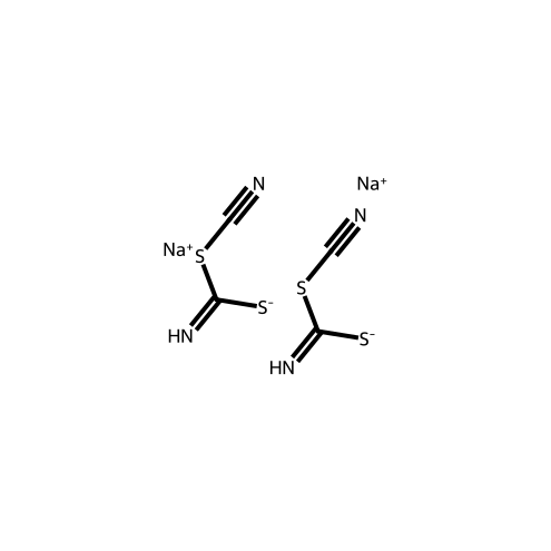 N#CSC(=N)[S-].N#CSC(=N)[S-].[Na+].[Na+]